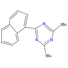 CC(C)(C)c1nc(-c2cccc3ccccc23)nc(C(C)(C)C)n1